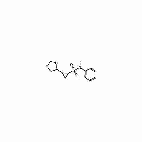 CN(c1ccccc1)S(=O)(=O)C1CC1C1COCO1